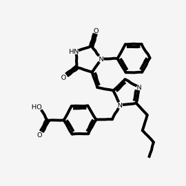 CCCCc1ncc(/C=C2/C(=O)NC(=O)N2c2ccccc2)n1Cc1ccc(C(=O)O)cc1